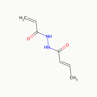 C=CC(=O)NNC(=O)C=CC